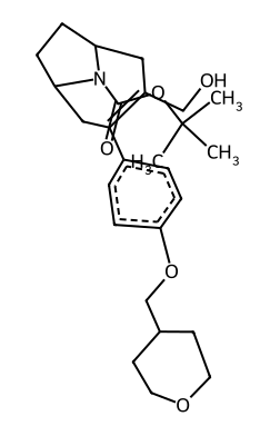 CC(C)(C)OC(=O)N1C2CCC1CC(c1ccc(OCC3CCOCC3)cc1)=C(CO)C2